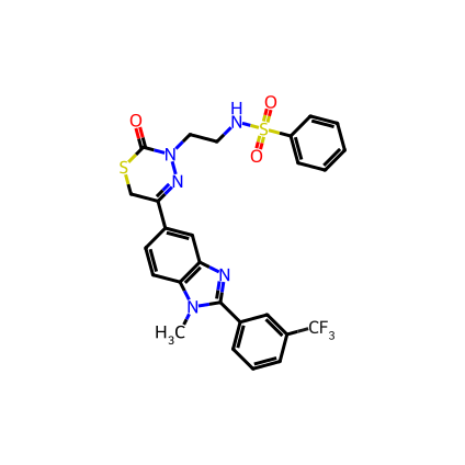 Cn1c(-c2cccc(C(F)(F)F)c2)nc2cc(C3=NN(CCNS(=O)(=O)c4ccccc4)C(=O)SC3)ccc21